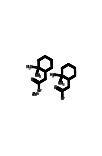 CC1(C)CCCCC1CC(=O)[O-].CC1(C)CCCCC1CC(=O)[O-].[Zn+2]